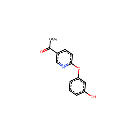 COC(=O)c1ccc(Oc2cccc(O)c2)nc1